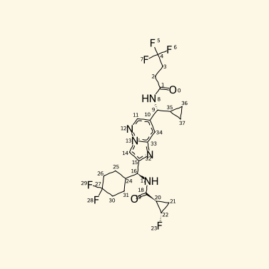 O=C(CCC(F)(F)F)N[C@@H](c1cnn2cc([C@@H](NC(=O)[C@H]3C[C@@H]3F)C3CCC(F)(F)CC3)nc2c1)C1CC1